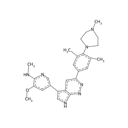 CNc1ncc(-c2c[nH]c3nnc(-c4cc(C)c(N5CCN(C)CC5)c(C)c4)cc23)cc1OC